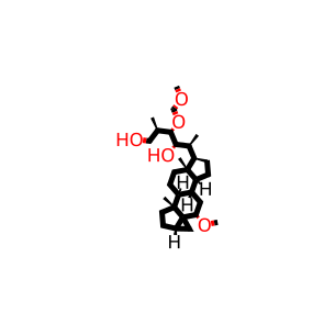 COCO[C@@H]([C@H](O)[C@@H](C)[C@H]1CC[C@H]2[C@@H]3C[C@@H](OC)C45C[C@@H]4CC[C@]5(C)[C@H]3CC[C@]12C)[C@H](C)CO